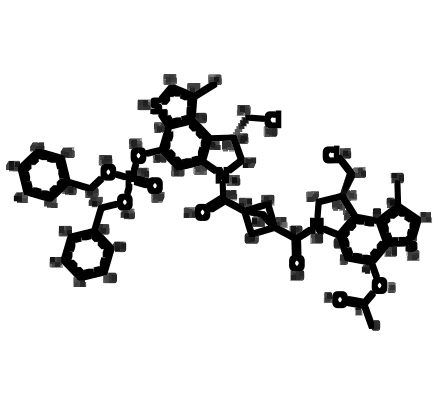 CC(=O)Oc1cc2c(c3c(C)csc13)[C@H](CCl)CN2C(=O)C12CC(C(=O)N3C[C@@H](CCl)c4c3cc(OP(=O)(OCc3ccccc3)OCc3ccccc3)c3scc(C)c43)(C1)C2